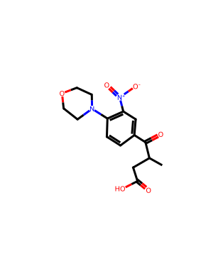 CC(CC(=O)O)C(=O)c1ccc(N2CCOCC2)c([N+](=O)[O-])c1